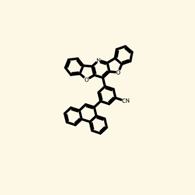 N#Cc1cc(-c2cc3ccccc3c3ccccc23)cc(-c2c3oc4ccccc4c3nc3c2oc2ccccc23)c1